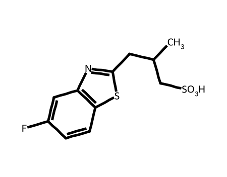 CC(Cc1nc2cc(F)ccc2s1)CS(=O)(=O)O